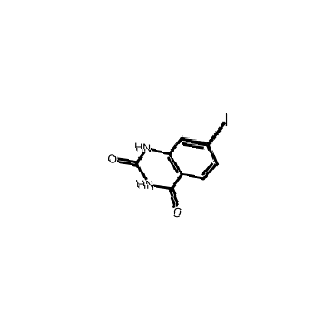 O=c1[nH]c(=O)c2ccc(I)cc2[nH]1